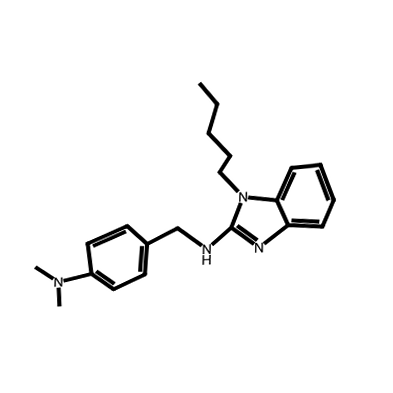 CCCCCn1c(NCc2ccc(N(C)C)cc2)nc2ccccc21